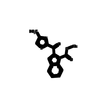 CC(C)(C)OC(=O)n1c(C(=O)c2nc(C(=O)O)cs2)cc2ccccc21